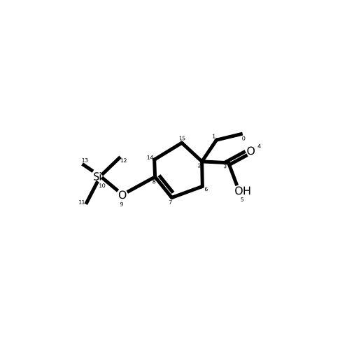 CCC1(C(=O)O)CC=C(O[Si](C)(C)C)CC1